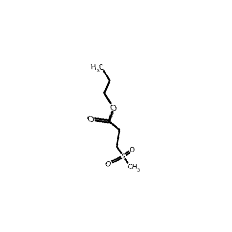 CCCOC(=O)CCS(C)(=O)=O